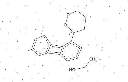 CCO.c1ccc2c(c1)=c1cccc(C3CCCOO3)c1=2